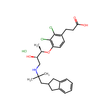 C[C@@H](Oc1ccc(CCC(=O)O)c(Cl)c1Cl)[C@H](O)CNC(C)(C)CC1Cc2ccccc2C1.Cl